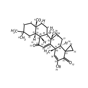 CC1(C)CC[C@]2(C(=O)O)CC[C@]3(C)[C@H](C(=O)C=C4[C@@]5(C)C=C(C#N)C(=O)C6(CC6)[C@@H]5CC[C@]43C)[C@@H]2C1